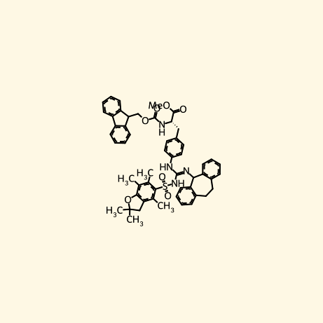 COC(=O)[C@H](Cc1ccc(N/C(=N/C2c3ccccc3CCc3ccccc32)NS(=O)(=O)c2c(C)c(C)c3c(c2C)CC(C)(C)O3)cc1)NC(=O)OCC1c2ccccc2-c2ccccc21